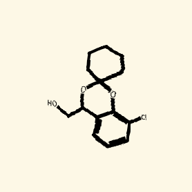 OCC1OC2(CCCCC2)Oc2c(Cl)cccc21